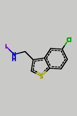 Clc1ccc2scc(CNI)c2c1